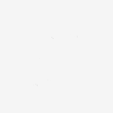 [C-]#[N+]c1ccc(Oc2cccc(N3CCCC3CC(=C)O)c2)cc1C